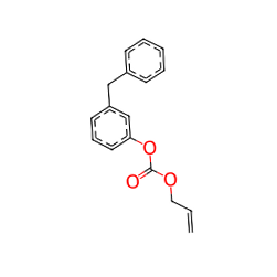 C=CCOC(=O)Oc1cccc(Cc2ccccc2)c1